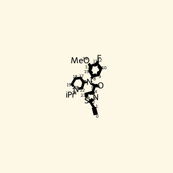 C#Cc1nc(C(=O)N(c2ccc(F)c(OC)c2)[C@@H]2CCCN(C(C)C)C2)cs1